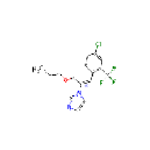 CCCOC/C(=C\c1ccc(Cl)cc1C(F)(F)F)n1ccnc1